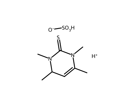 CC1=CC(C)N(C)C(=S)N1C.O=S(=O)([O-])O.[H+]